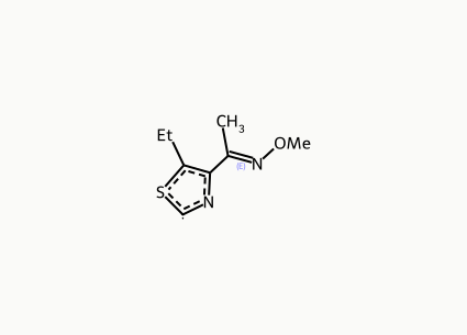 CCc1s[c]nc1/C(C)=N/OC